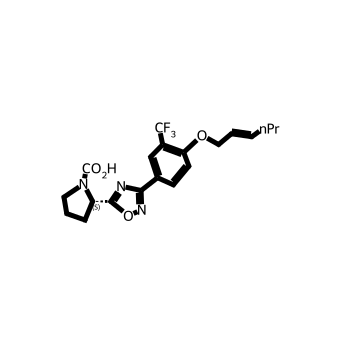 CCCC=CCOc1ccc(-c2noc([C@@H]3CCCN3C(=O)O)n2)cc1C(F)(F)F